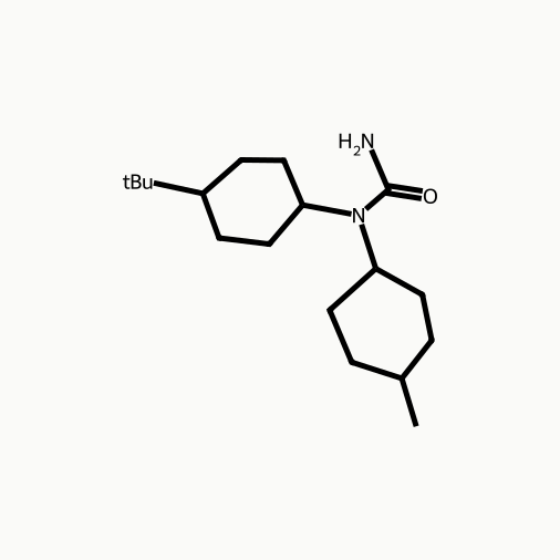 CC1CCC(N(C(N)=O)C2CCC(C(C)(C)C)CC2)CC1